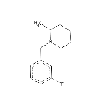 CC1CCCCN1Cc1cccc(F)c1